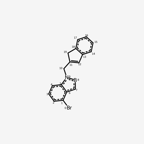 Brc1cccc2c1cbn2CC1=Cc2ccccc2C1